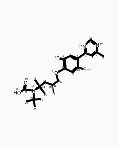 Cc1cc(-c2cc(F)c(OC[C@@H](C)CC(C)(C)N(C(=O)O)C(C)(C)C)cc2F)ncn1